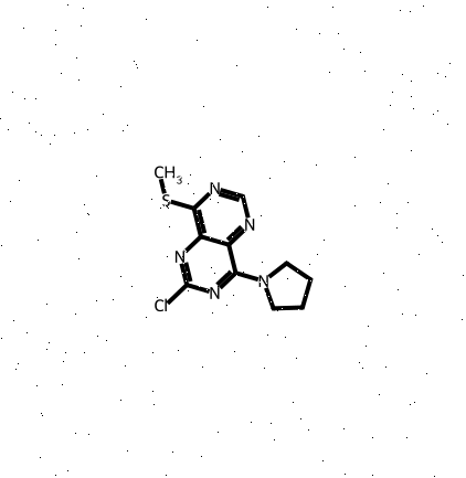 CSc1ncnc2c(N3CCCC3)nc(Cl)nc12